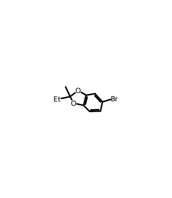 CCC1(C)Oc2ccc(Br)cc2O1